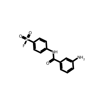 Nc1cccc(C(=O)Nc2ccc(S(=O)(=O)F)cc2)c1